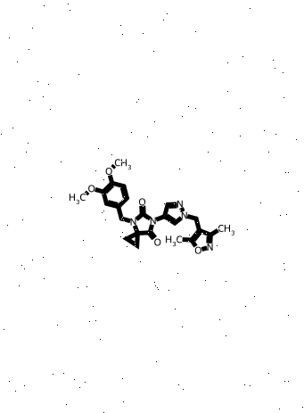 COc1ccc(CN2C(=O)N(c3cnn(Cc4c(C)noc4C)c3)C(=O)C23CC3)cc1OC